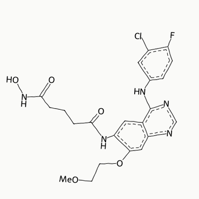 COCCOc1cc2ncnc(Nc3ccc(F)c(Cl)c3)c2cc1NC(=O)CCCC(=O)NO